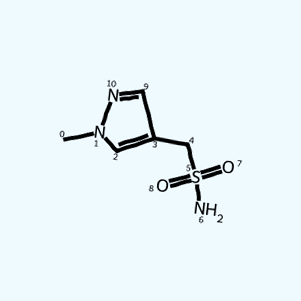 Cn1cc(CS(N)(=O)=O)cn1